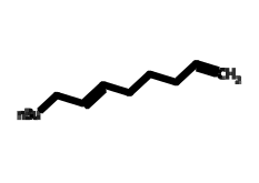 C=CCCCC=CCCCCC